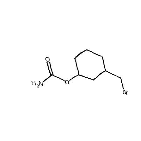 NC(=O)OC1CCCC(CBr)C1